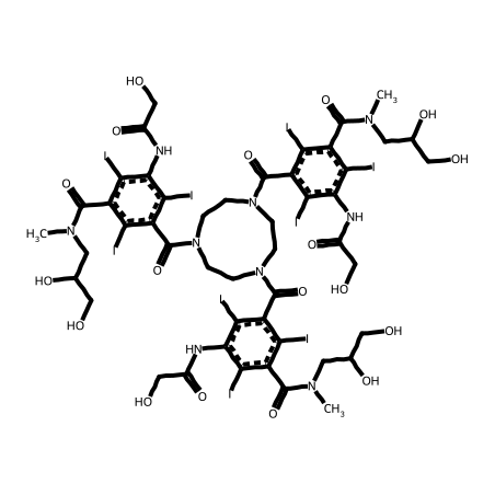 CN(CC(O)CO)C(=O)c1c(I)c(NC(=O)CO)c(I)c(C(=O)N2CCN(C(=O)c3c(I)c(NC(=O)CO)c(I)c(C(=O)N(C)CC(O)CO)c3I)CCN(C(=O)c3c(I)c(NC(=O)CO)c(I)c(C(=O)N(C)CC(O)CO)c3I)CC2)c1I